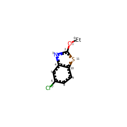 CCOc1nc2cc(Cl)ccc2s1